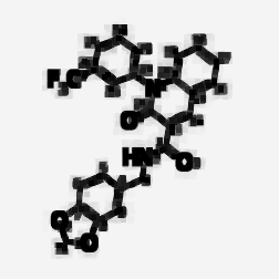 O=C(NCc1ccc2c(c1)OCO2)c1cc2ccccc2n(-c2cccc(C(F)(F)F)c2)c1=O